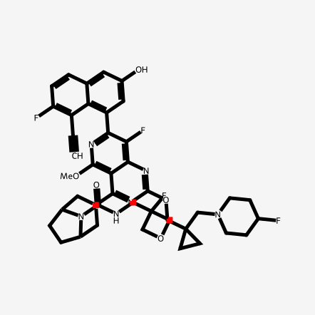 C#Cc1c(F)ccc2cc(O)cc(-c3nc(OC)c4c(N5CC6CCC(C5)N6C(=O)NCC5(F)COC5)nc(OCC5(CN6CCC(F)CC6)CC5)nc4c3F)c12